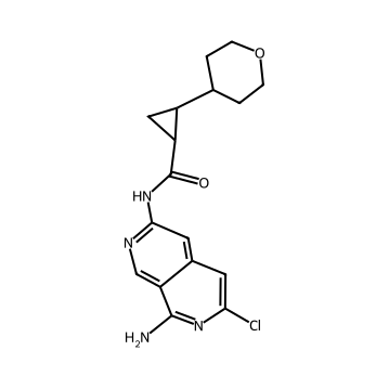 Nc1nc(Cl)cc2cc(NC(=O)C3CC3C3CCOCC3)ncc12